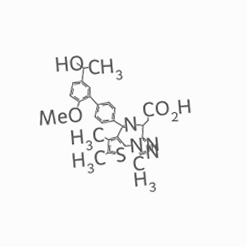 COc1ccc(C(C)O)cc1-c1ccc(C2=NC(CC(=O)O)c3nnc(C)n3-c3sc(C)c(C)c32)cc1